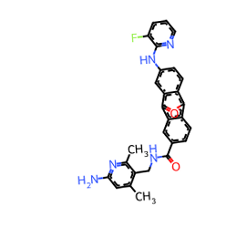 Cc1cc(N)nc(C)c1CNC(=O)c1ccc2c(c1)c1oc2c2ccc(Nc3ncccc3F)cc21